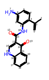 C=C(C)c1ccc(N)cc1NC(=O)c1c[nH]c2ccccc2c1=O